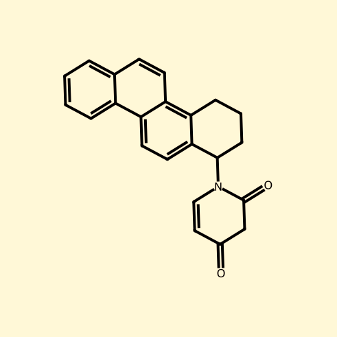 O=C1C=CN(C2CCCc3c2ccc2c3ccc3ccccc32)C(=O)C1